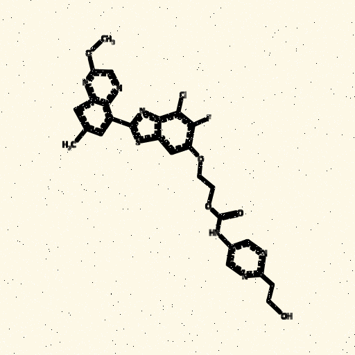 COc1cnc2c(-c3nc4c(Cl)c(F)c(OCCOC(=O)Nc5cnc(CCO)nc5)cc4s3)cc(C)cc2n1